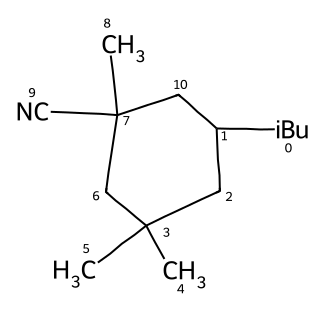 CCC(C)C1CC(C)(C)CC(C)(C#N)C1